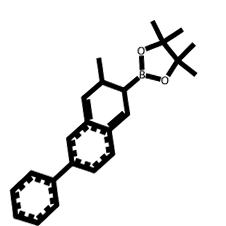 CC1C=c2cc(-c3ccccc3)ccc2=CC1B1OC(C)(C)C(C)(C)O1